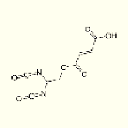 O=C=NC(COC(=O)/C=C/C(=O)O)N=C=O